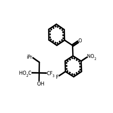 CC(C)CC(O)(C(=O)O)C(F)(F)F.O=C(c1ccccc1)c1cc(F)ccc1[N+](=O)[O-]